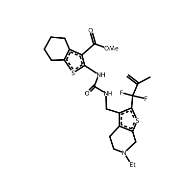 C=C(C)C(F)(F)c1sc2c(c1CNC(=O)Nc1sc3c(c1C(=O)OC)CCCC3)CCN(CC)C2